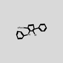 CCCCCc1ccc(-c2ccccc2)c(Br)c1Pc1ccccc1